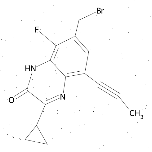 CC#Cc1cc(CBr)c(F)c2[nH]c(=O)c(C3CC3)nc12